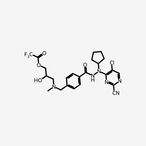 CN(Cc1ccc(C(=O)NN(c2nc(C#N)ncc2Cl)C2CCCC2)cc1)CC(O)COC(=O)C(F)(F)F